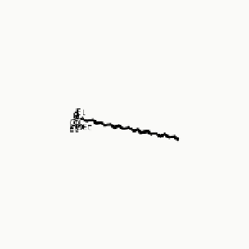 C=CCCCCCCCCCCCCCCCCCCCC[Si](OCC)(OCC)OCC